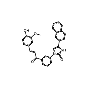 COc1cc(C=CC(=O)c2cccc(-n3cc(-c4ccc5ccccc5c4)[nH]c3=O)c2)ccc1O